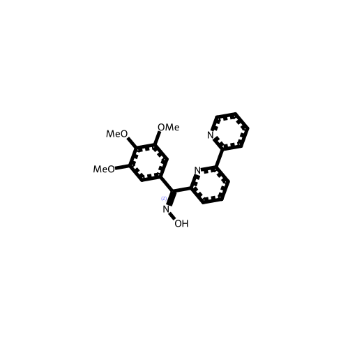 COc1cc(/C(=N/O)c2cccc(-c3ccccn3)n2)cc(OC)c1OC